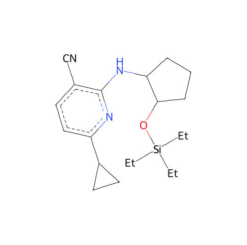 CC[Si](CC)(CC)OC1CCCC1Nc1nc(C2CC2)ccc1C#N